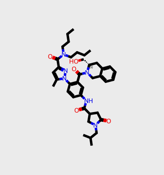 CCCCN(CCCC)C(=O)c1cc(C)n(-c2ccc(NC(=O)C3CC(=O)N(CC(C)C)C3)cc2C(=O)N2Cc3ccccc3C[C@H]2CO)n1